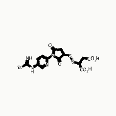 CCC(=N)Nc1ccc(N2C(=O)CC(SSC(CC(=O)O)C(=O)O)C2=O)nc1